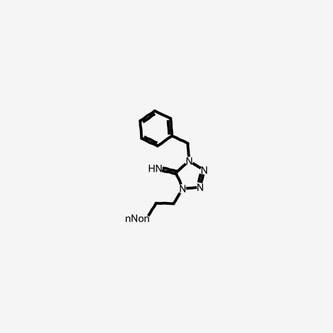 CCCCCCCCCCCn1nnn(Cc2ccccc2)c1=N